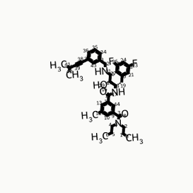 CCCN(CCC)C(=O)c1cc(C)cc(C(=O)N[C@@H](Cc2cc(F)cc(F)c2)[C@H](O)CNCc2cccc(C#CC(C)C)c2)c1